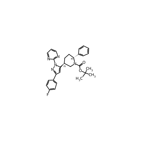 CC(C)(C)OC(=O)N1C[C@@H](c2cc(-c3ccc(F)cc3)nn2-c2ncccn2)CC[C@@H]1c1ccccc1